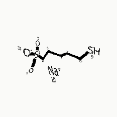 O=S(=O)([O-])CCCCCS.[Na+]